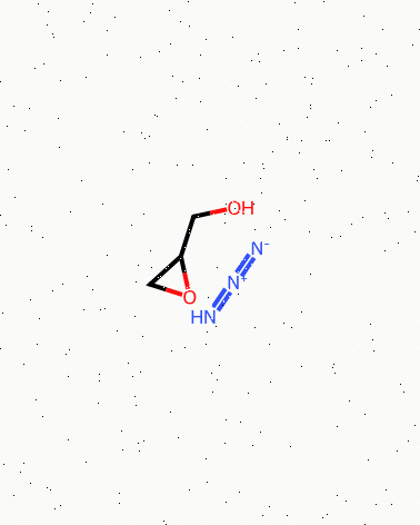 OCC1CO1.[N-]=[N+]=N